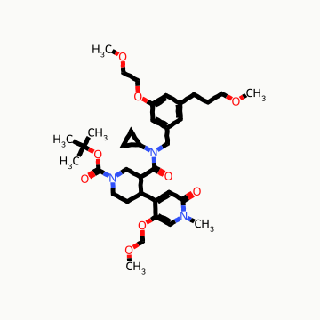 COCCCc1cc(CN(C(=O)C2CN(C(=O)OC(C)(C)C)CCC2c2cc(=O)n(C)cc2OCOC)C2CC2)cc(OCCOC)c1